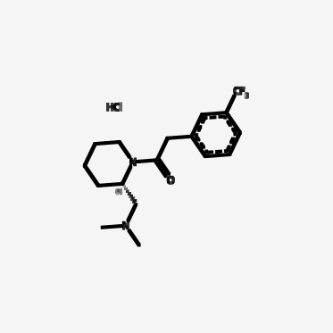 CN(C)C[C@@H]1CCCCN1C(=O)Cc1cccc(C(F)(F)F)c1.Cl